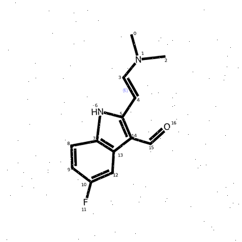 CN(C)/C=C/c1[nH]c2ccc(F)cc2c1C=O